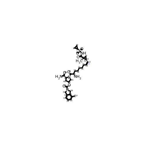 C[C@]1(C(=O)NS(=O)(=O)C2CC2)C[C@H]1/C=C\CCCCC[C@H](N)C(=O)N1C[C@H](OC(=O)N2Cc3cccc(I)c3C2)C[C@H]1C(N)=O